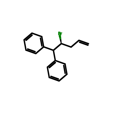 C=CC[C@H](Br)C(c1ccccc1)c1ccccc1